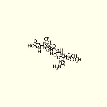 CC(C)(ON=C(C(=O)N[C@H]1CN(C(=O)NS(=O)(=O)n2nc(-c3cc(=O)c(O)c[nH]3)n(CC(F)(F)F)c2=O)C1=O)c1csc(N)n1)C(=O)O